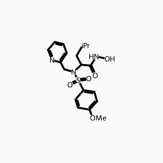 COc1ccc(S(=O)(=O)N(Cc2ccccn2)C(CC(C)C)C(=O)NO)cc1